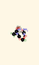 Cc1c(NS(C)(=O)=O)cccc1N(Cc1ccc(Oc2ccc(Cl)c(OCC(=O)N3CCC(C(N)=O)CC3)c2)cc1)Cc1ccc(F)cc1F